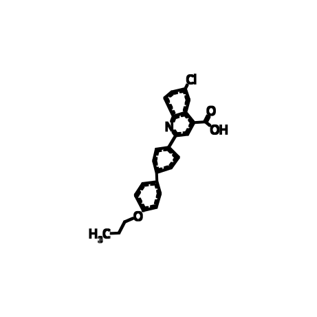 CCCOc1ccc(-c2ccc(-c3cc(C(=O)O)c4cc(Cl)ccc4n3)cc2)cc1